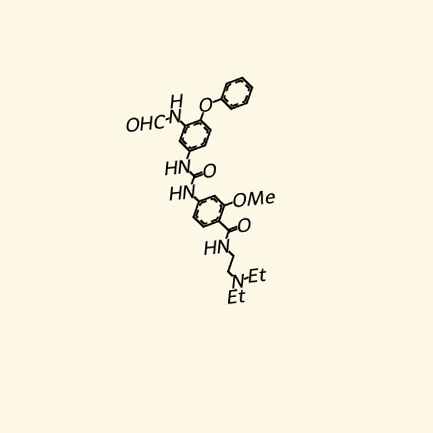 CCN(CC)CCNC(=O)c1ccc(NC(=O)Nc2ccc(Oc3ccccc3)c(NC=O)c2)cc1OC